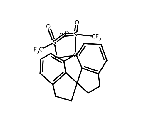 O=S(=O)(Oc1cccc2c1C1(CC2)CCc2cccc(OS(=O)(=O)C(F)(F)F)c21)C(F)(F)F